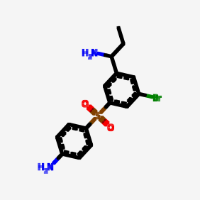 CCC(N)c1cc(Br)cc(S(=O)(=O)c2ccc(N)cc2)c1